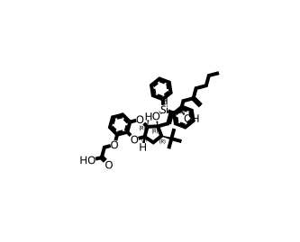 C=C(CCCC)C[C@H](O)C=C[C@]1(O[SiH](c2ccccc2)c2ccccc2)[C@@H]2Oc3cccc(OCC(=O)O)c3O[C@H]2C[C@@H]1C(C)(C)C